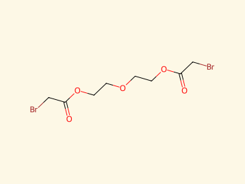 O=C(CBr)OCCOCCOC(=O)CBr